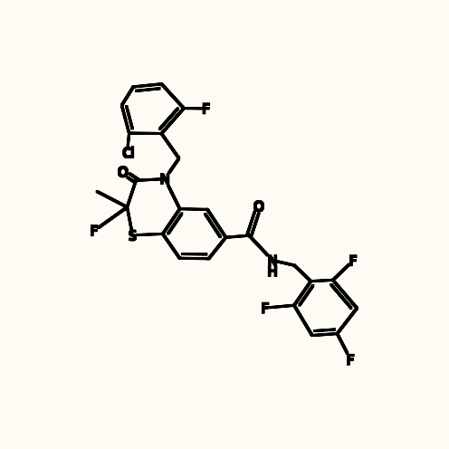 CC1(F)Sc2ccc(C(=O)NCc3c(F)cc(F)cc3F)cc2N(Cc2c(F)cccc2Cl)C1=O